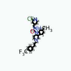 Cc1ccc2c3c(n(C(=O)NCc4ccnc(Cl)c4)c2c1)CCN(C/C=C/c1ccc(C(F)(F)F)cc1)C3